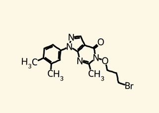 Cc1ccc(-n2ncc3c(=O)n(OCCCBr)c(C)nc32)cc1C